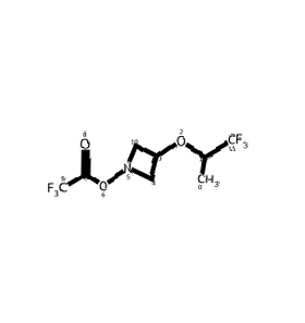 CC(OC1CN(OC(=O)C(F)(F)F)C1)C(F)(F)F